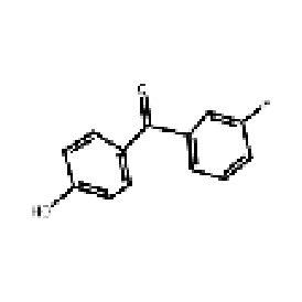 O=C(c1ccc(O)cc1)c1cccc(F)c1